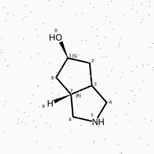 O[C@H]1CC2CNC[C@@H]2C1